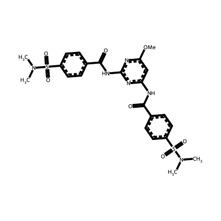 COc1cc(NC(=O)c2ccc(S(=O)(=O)N(C)C)cc2)nc(NC(=O)c2ccc(S(=O)(=O)N(C)C)cc2)n1